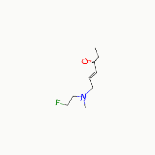 CCC(=O)/C=C/CN(C)CCF